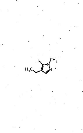 CCc1[c]nn(C)c1I